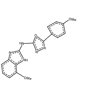 COc1ccc(-c2nnc(Nc3nc4cccc(OC)c4[nH]3)o2)cc1